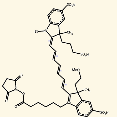 CCN1/C(=C/C=C/C=C/C=C/C2=[N+](CCCCCC(=O)ON3C(=O)CCC3=O)c3ccc(S(=O)(=O)O)cc3C2(C)CCOC)C(C)(CCCS(=O)(=O)O)c2cc(S(=O)(=O)O)ccc21